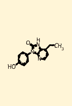 CCc1ccnc2c1[nH]c(=O)n2-c1ccc(O)cc1